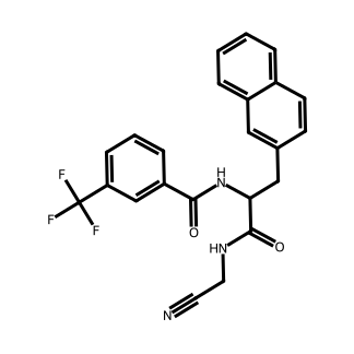 N#CCNC(=O)C(Cc1ccc2ccccc2c1)NC(=O)c1cccc(C(F)(F)F)c1